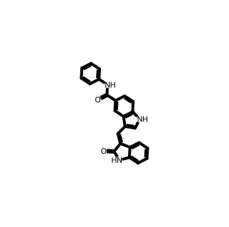 O=C1Nc2ccccc2/C1=C\c1c[nH]c2ccc(C(=O)Nc3ccccc3)cc12